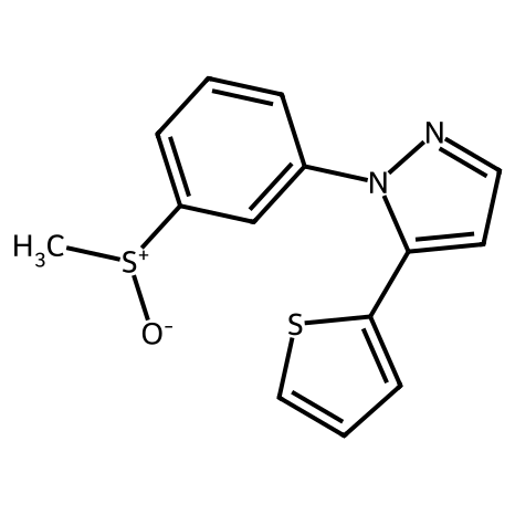 C[S+]([O-])c1cccc(-n2nccc2-c2cccs2)c1